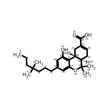 CCCC(C)(C)CCCc1cc(O)c2c(c1)OC(C)(C)[C@@H]1CC=C(C(=O)O)C[C@@H]21